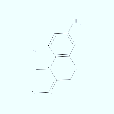 CN1C(=NC#N)COc2cc(N)ccc21.[Fe]